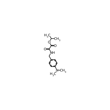 CC(C)OC(=O)C(=O)NCc1ccc(N(C)C)cc1